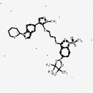 Cn1ncc(-c2ccc3c(cnn3C3CCCCO3)c2)c1OCCCOc1nn(S(C)(=O)=O)c2ccc(B3OC(C)(C)C(C)(C)O3)cc12